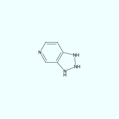 c1cc2c(cn1)NNN2